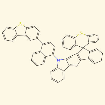 C1=C2C(=CCC1)C1(c3ccccc3Sc3ccccc31)c1cc3c(cc12)c1ccccc1n3-c1ccc(-c2ccc3sc4ccccc4c3c2)c2ccccc12